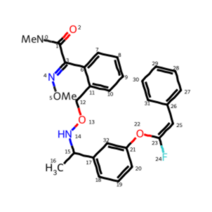 CNC(=O)/C(=N/OC)c1ccccc1CONC(C)c1cccc(O/C(F)=C\c2ccccc2)c1